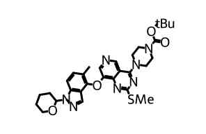 CSc1nc(N2CCN(C(=O)OC(C)(C)C)CC2)c2cncc(Oc3c(C)ccc4c3cnn4C3CCCCO3)c2n1